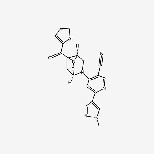 Cn1cc(-c2ncc(C#N)c(N3C[C@@H]4CC[C@H]3CN4C(=O)c3cccs3)n2)cn1